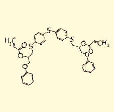 C=CC(=O)OC(COc1ccccc1)CSc1ccc(Sc2ccc(SCC(COc3ccccc3)OC(=O)C=C)cc2)cc1